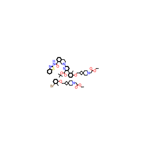 CCOC(=O)CN1CCC2(CC1)CC(COc1cccc(-c3ccc(N4CCc5cccc(C(=O)Nc6nc7ccccc7s6)c5C4)nc3C(=O)OC(C)(C)C)c1C)C2.CCOC(=O)CN1CCC2(CC1)CC(COc1cccc(Br)c1C)C2